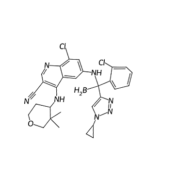 BC(Nc1cc(Cl)c2ncc(C#N)c(NC3CCOCC3(C)C)c2c1)(c1cn(C2CC2)nn1)c1ccccc1Cl